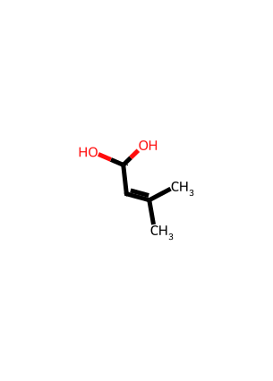 CC(C)=C[C](O)O